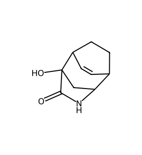 O=C1NC2CC1(O)C1C=CC2CC1